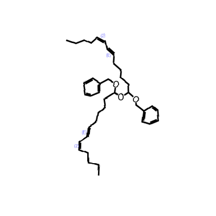 CCCC/C=C\C=C\CCCCC(OCc1ccccc1)OC(CCCC/C=C/C=C\CCCC)OCc1ccccc1